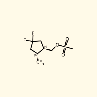 CS(=O)(=O)OC[C@@H]1CC(F)(F)C[C@H]1C(F)(F)F